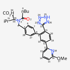 CCCCC(=O)N(Cc1ccc(-c2cc(-c3cccc(OC)n3)ccc2-c2nn[nH]n2)cc1)[C@H](C(=O)O)C(C)C